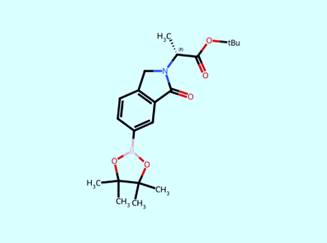 C[C@H](C(=O)OC(C)(C)C)N1Cc2ccc(B3OC(C)(C)C(C)(C)O3)cc2C1=O